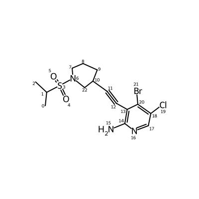 CC(C)S(=O)(=O)N1CCCC(C#Cc2c(N)ncc(Cl)c2Br)C1